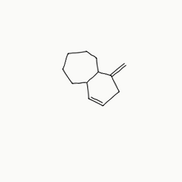 C=C1CC=CC2CCCCCC12